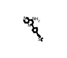 C[Si](C)(C)C#Cc1ccc(-c2cc(N)c3cnccc3n2)cc1